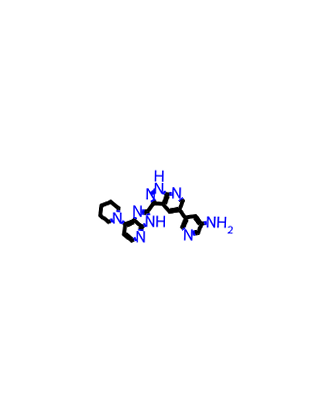 Nc1cncc(-c2cnc3[nH]nc(-c4nc5c(N6CCCCC6)ccnc5[nH]4)c3c2)c1